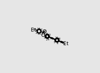 CCC#Cc1ccc(C#Cc2ccc(OC(=O)[C@H]3CC[C@H](CC)CC3)cc2)cc1